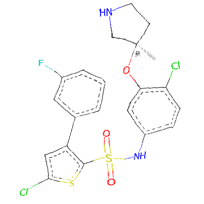 C[C@@]1(Oc2cc(NS(=O)(=O)c3sc(Cl)cc3-c3cccc(F)c3)ccc2Cl)CCNC1